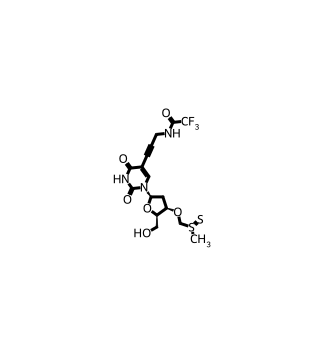 CS(=S)CO[C@@H]1C[C@H](n2cc(C#CCNC(=O)C(F)(F)F)c(=O)[nH]c2=O)O[C@@H]1CO